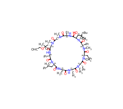 CCCC[C@@H](C)[C@@H](O)C1C(=O)N[C@H](CC)C(=O)N(C)CC(=O)N(C)[C@@H](CC(C)(C)OCC=O)C(=O)N[C@H](C(C)C)C(=O)N(C)[C@H](CCC(C)C)C(=O)N[C@H](C)C(=O)N[C@@H](C)C(=O)N(C)[C@@H](CC(C)C)C(=O)N(C)[C@H](CC(C)C)C(=O)N(C)[C@H](C(C)C)C(=O)N1C